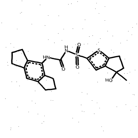 CC1(O)CCc2sc(S(=O)(=O)NC(=O)Nc3c4c(cc5c3CCC5)CCC4)cc21